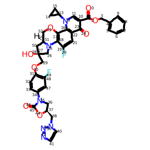 O=C(OCc1ccccc1)c1cn(C2CC2)c2c3c(c(F)cc2c1=O)N1C[C@](O)(COc2ccc(N4C[C@@H](Cn5ccnn5)OC4=O)cc2F)C[C@H]1CO3